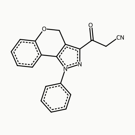 N#CCC(=O)c1nn(-c2ccccc2)c2c1COc1ccccc1-2